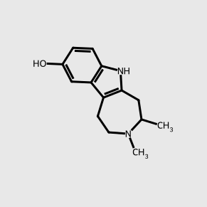 CC1Cc2[nH]c3ccc(O)cc3c2CCN1C